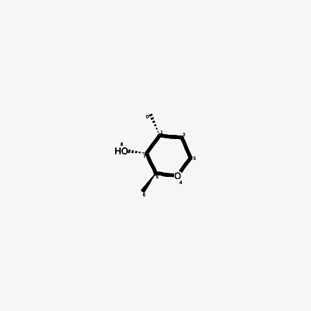 C[C@@H]1CCO[C@@H](C)[C@@H]1O